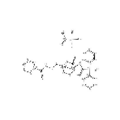 O=C(NCC[N+]12CCC(CC1)[C@@H](OC(=O)C(O)(c1ccccc1)c1ccccc1)C2)c1cccnc1.O=C([O-])C(F)(F)F